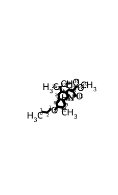 CCCCOc1cc2c(cc1C)-c1[nH]c(=O)c(C(=O)OC)c(Cl)c1C(C(C)C)C2